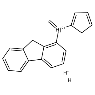 [CH2]=[Hf+2]([C]1=CC=CC1)[c]1cccc2c1Cc1ccccc1-2.[H-].[H-]